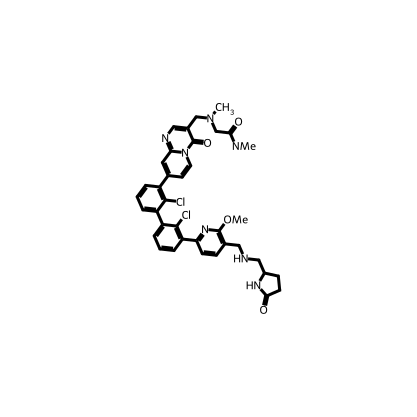 CNC(=O)CN(C)Cc1cnc2cc(-c3cccc(-c4cccc(-c5ccc(CNCC6CCC(=O)N6)c(OC)n5)c4Cl)c3Cl)ccn2c1=O